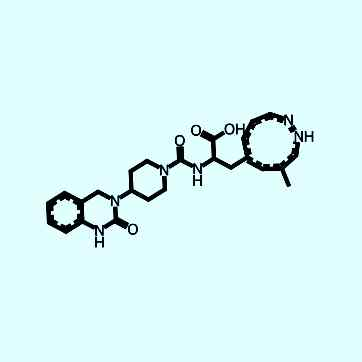 Cc1c[nH]ncccc(CC(NC(=O)N2CCC(N3Cc4ccccc4NC3=O)CC2)C(=O)O)c1